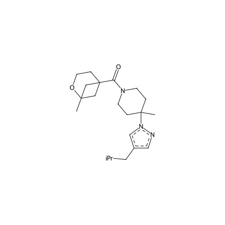 CC(C)Cc1cnn(C2(C)CCN(C(=O)C34CCOC(C)(C3)C4)CC2)c1